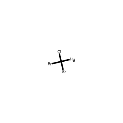 Cl[C](Br)(Br)[Hg]